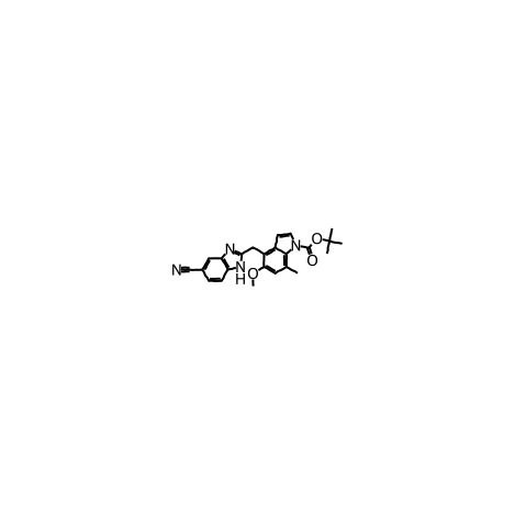 COc1cc(C)c2c(ccn2C(=O)OC(C)(C)C)c1Cc1nc2cc(C#N)ccc2[nH]1